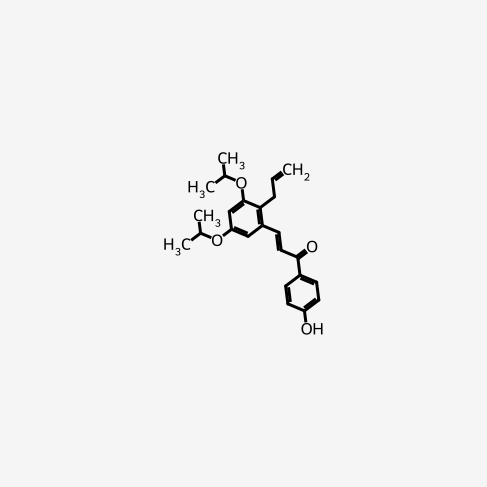 C=CCc1c(/C=C/C(=O)c2ccc(O)cc2)cc(OC(C)C)cc1OC(C)C